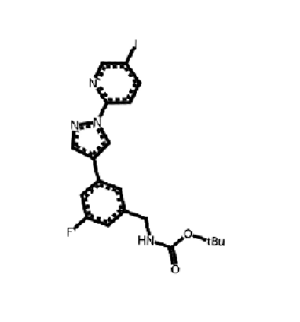 CC(C)(C)OC(=O)NCc1cc(F)cc(-c2cnn(-c3ccc(I)cn3)c2)c1